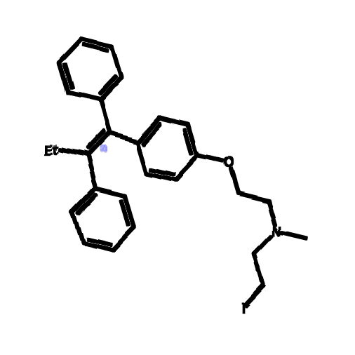 CC/C(=C(\c1ccccc1)c1ccc(OCCN(C)CCI)cc1)c1ccccc1